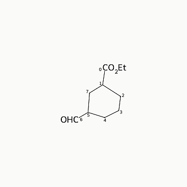 CCOC(=O)C1CCCC(C=O)C1